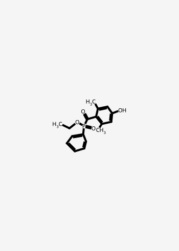 CCOP(=O)(C(=O)c1c(C)cc(O)cc1C)c1ccccc1